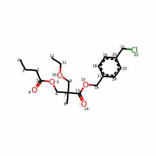 CCCC(=O)OCC(C)(COCC)C(=O)OCc1ccc(CCl)cc1